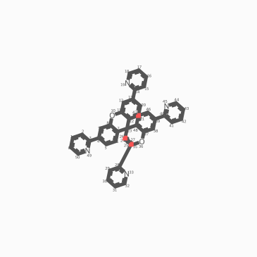 c1ccc(-c2ccc3c(c2)Oc2cc(-c4ccccn4)ccc2C32c3ccc(-c4ccccn4)cc3Oc3cc(-c4ccccn4)ccc32)nc1